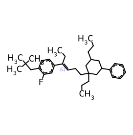 CCCC1CC(c2ccccc2)CC(CCC)(CC/C=C(\CC)c2ccc(CC(C)(C)C)c(F)c2)C1